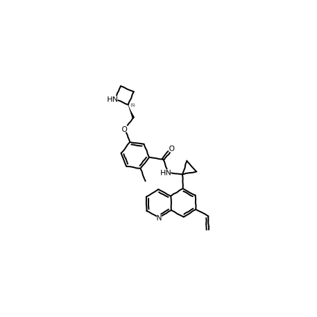 C=Cc1cc(C2(NC(=O)c3cc(OC[C@@H]4CCN4)ccc3C)CC2)c2cccnc2c1